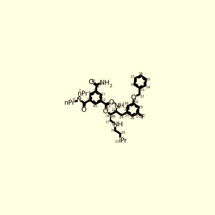 CCCN(CCC)C(=O)c1cc(C(N)=O)cc(C(=O)O[C@H](CNCCC(C)C)[C@@H](N)Cc2cc(F)cc(OCc3ccccc3)c2)c1